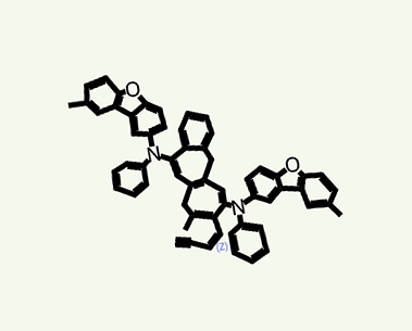 C#C/C=C\C1=C(C)CC2=C(C=C1N(c1ccccc1)c1ccc3oc4ccc(C)cc4c3c1)Cc1ccccc1C(N(c1ccccc1)c1ccc3oc4ccc(C)cc4c3c1)=C2